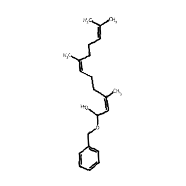 CC(C)=CCCC(C)=CCCC(C)=CC(O)OCc1ccccc1